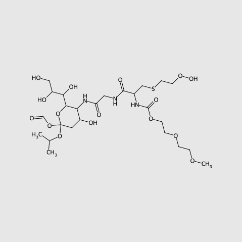 COCCOCCOC(=O)NC(CSCCOO)C(=O)NCC(=O)NC1C(O)CC(OC=O)(OC(C)C)OC1C(O)C(O)CO